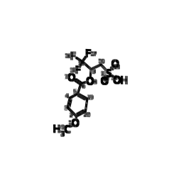 COc1ccc(C(=O)OC(CS(=O)(=O)O)C(F)(F)F)cc1